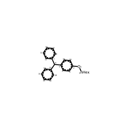 CCCCCCOc1ccc([C](c2ccccc2)c2ccccc2)cc1